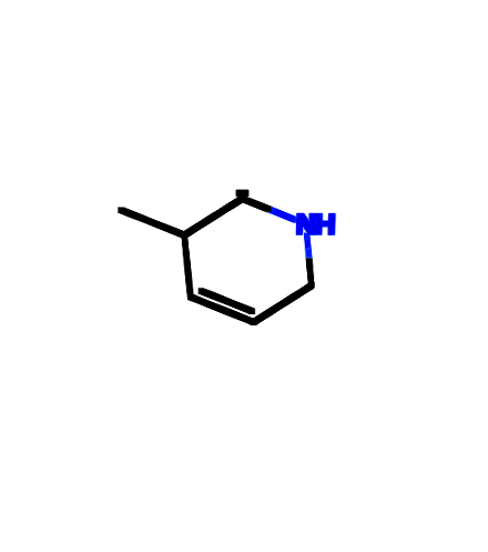 CC1[C]NCC=C1